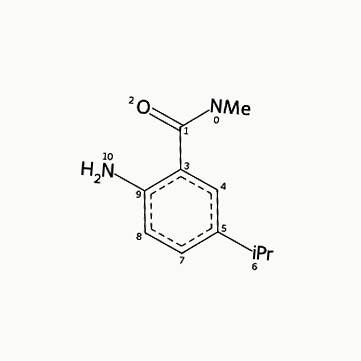 CNC(=O)c1cc(C(C)C)ccc1N